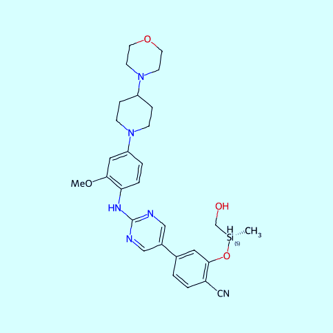 COc1cc(N2CCC(N3CCOCC3)CC2)ccc1Nc1ncc(-c2ccc(C#N)c(O[Si@@H](C)CO)c2)cn1